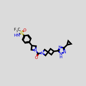 N=S(=O)(c1ccc(C2CN(C(=O)N3CC4(CC(c5nc(C6CC6)n[nH]5)C4)C3)C2)cc1)C(F)(F)F